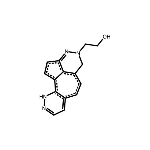 OCCN1Cc2ccc3c(c4ccc(c2-4)=N1)NN=CC=3